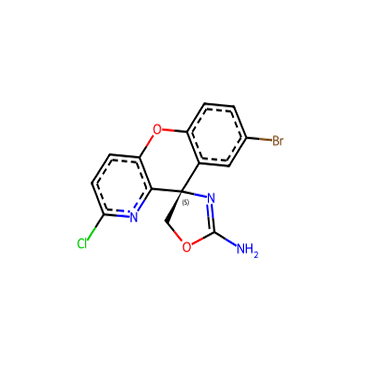 NC1=N[C@@]2(CO1)c1cc(Br)ccc1Oc1ccc(Cl)nc12